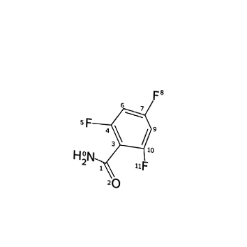 NC(=O)c1c(F)cc(F)cc1F